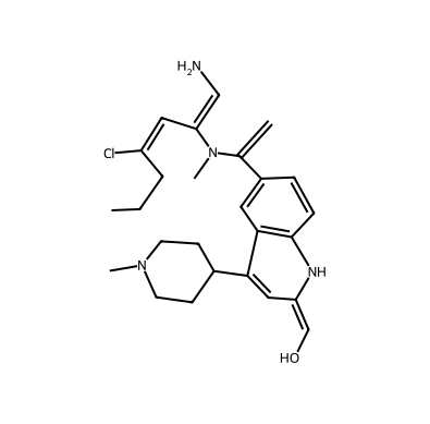 C=C(c1ccc2c(c1)C(C1CCN(C)CC1)=C/C(=C\O)N2)N(C)C(/C=C(/Cl)CCC)=C/N